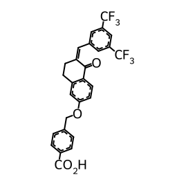 O=C(O)c1ccc(COc2ccc3c(c2)CCC(=Cc2cc(C(F)(F)F)cc(C(F)(F)F)c2)C3=O)cc1